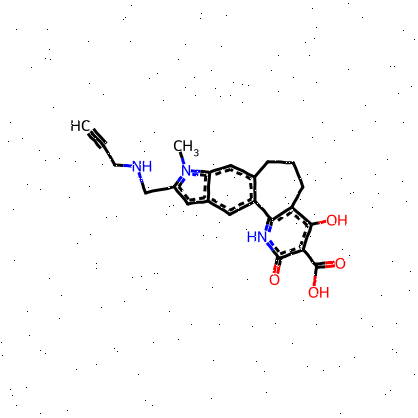 C#CCNCc1cc2cc3c(cc2n1C)CCCc1c-3[nH]c(=O)c(C(=O)O)c1O